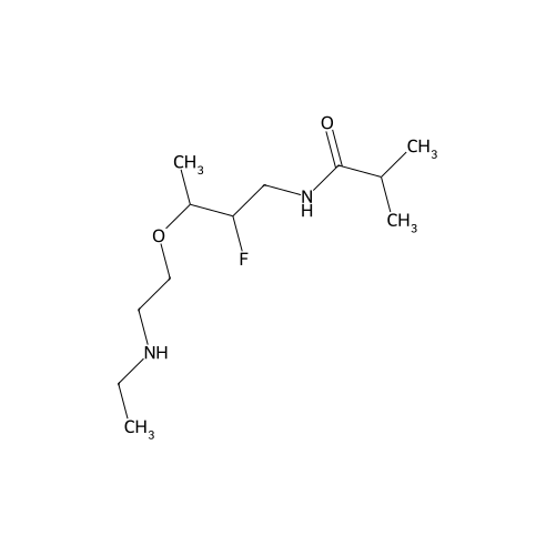 CCNCCOC(C)C(F)CNC(=O)C(C)C